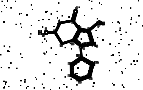 CC1CC(=O)c2c(C(C)(C)C)nn(-c3ccccn3)c2C1